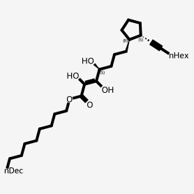 CCCCCCC#C[C@H]1CCC[C@@H]1CCC[C@H](O)C(O)=C(O)C(=O)OCCCCCCCCCCCCCCCCCC